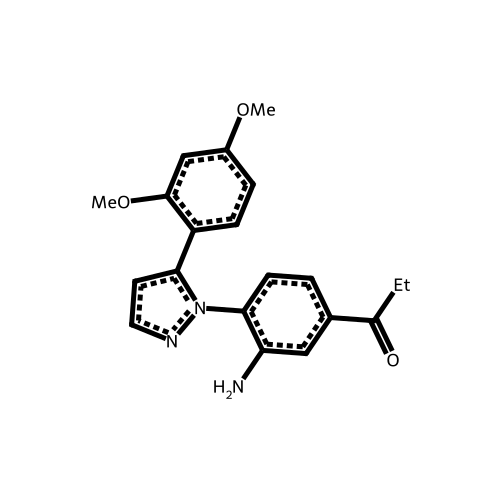 CCC(=O)c1ccc(-n2nccc2-c2ccc(OC)cc2OC)c(N)c1